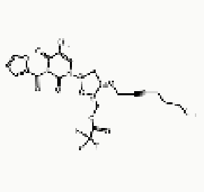 CCCCC#CCO[C@H]1C[C@H](n2cc(C)c(=O)n(C(=O)c3ccco3)c2=O)O[C@@H]1COC(=O)C(F)(F)F